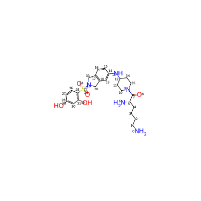 NCCCC[C@H](N)C(=O)N1CCC(Nc2ccc3c(c2)CN(S(=O)(=O)c2ccc(O)cc2O)C3)CC1